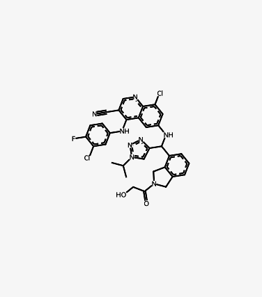 CC(C)n1cc(C(Nc2cc(Cl)c3ncc(C#N)c(Nc4ccc(F)c(Cl)c4)c3c2)c2cccc3c2CN(C(=O)CO)C3)nn1